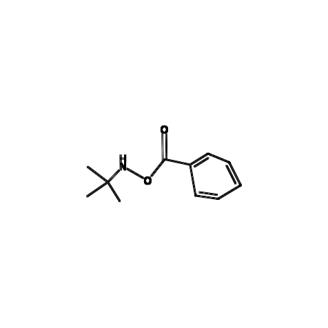 CC(C)(C)NOC(=O)c1ccccc1